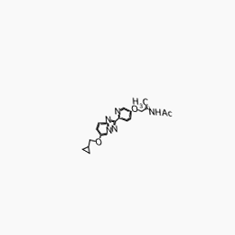 CC(=O)N[C@@H](C)COc1ccc(-c2nc3ccc(OCC4CC4)cn3n2)nc1